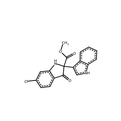 COC(=O)C1(c2c[nH]c3ccccc23)Nc2cc(Cl)ccc2C1=O